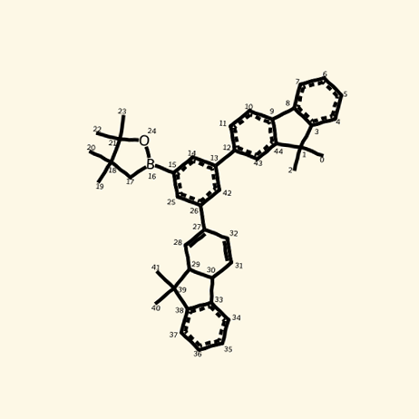 CC1(C)c2ccccc2-c2ccc(-c3cc(B4CC(C)(C)C(C)(C)O4)cc(C4=CC5C(C=C4)c4ccccc4C5(C)C)c3)cc21